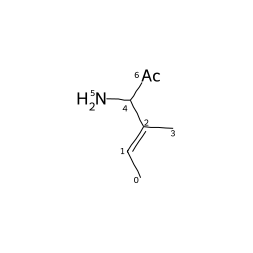 C/C=C(\C)C(N)C(C)=O